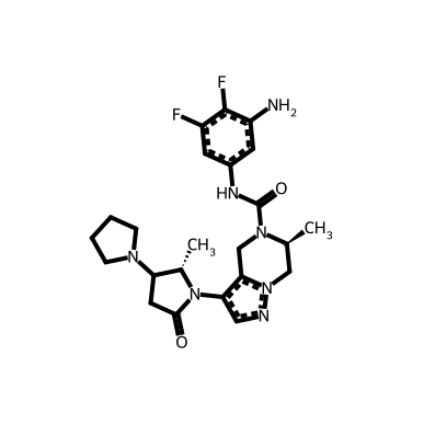 C[C@H]1Cn2ncc(N3C(=O)CC(N4CCCC4)[C@@H]3C)c2CN1C(=O)Nc1cc(N)c(F)c(F)c1